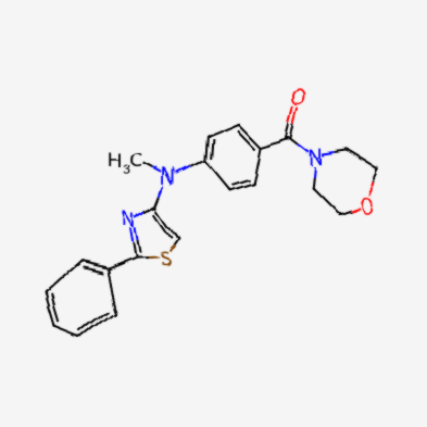 CN(c1ccc(C(=O)N2CCOCC2)cc1)c1csc(-c2ccccc2)n1